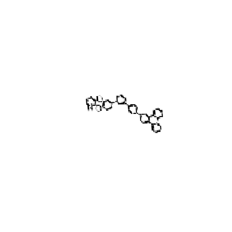 c1cc(-c2ccc(-c3ccc4c5ccccc5c5ccccc5c4c3)cc2)cc(-c2ccc3c(c2)Oc2cccnc2O3)c1